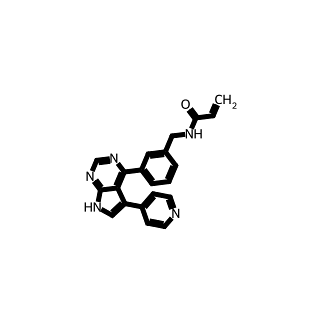 C=CC(=O)NCc1cccc(-c2ncnc3[nH]cc(-c4ccncc4)c23)c1